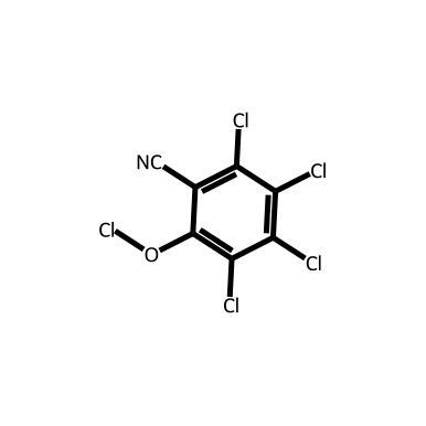 N#Cc1c(Cl)c(Cl)c(Cl)c(Cl)c1OCl